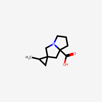 CC1CC12CN1CCCC1(C(=O)O)C2